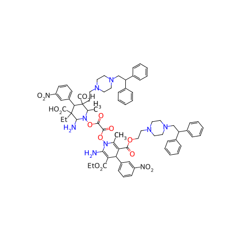 CCOC(=O)C1=C(N)N(OC(=O)C(=O)ON2C(C)C(CCN3CCN(CC(c4ccccc4)c4ccccc4)CC3)(C(=O)O)C(c3cccc([N+](=O)[O-])c3)C(CC)(C(=O)O)C2N)C(C)=C(C(=O)OCCN2CCN(CC(c3ccccc3)c3ccccc3)CC2)C1c1cccc([N+](=O)[O-])c1